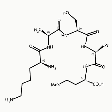 CSCC[C@H](NC(=O)[C@@H](NC(=O)[C@H](CO)NC(=O)[C@H](C)NC(=O)[C@@H](N)CCCCN)C(C)C)C(=O)O